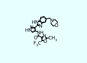 Cc1nc(C(=O)Nc2c[nH]nc2-c2nc3cc(CN4CCOCC4)ccc3[nH]2)c(C(F)(F)F)o1